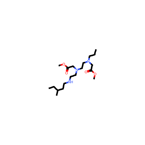 CCCN(CCN(CCNCCC(C)CC)CC(=O)OC)CC(=O)OC